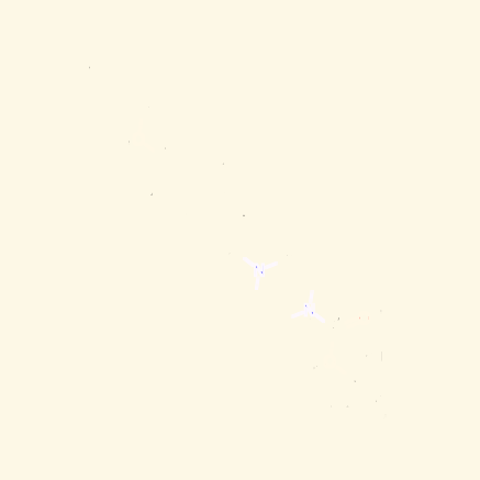 C#CCOc1ccc(CCN2CCN(C(=O)OC(C)(C)C)CC2)cc1